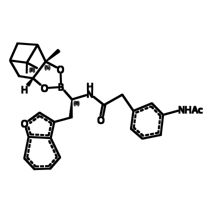 CC(=O)Nc1cccc(CC(=O)N[C@@H](Cc2coc3ccccc23)B2O[C@@H]3CC4CC(C4(C)C)[C@]3(C)O2)c1